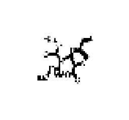 C=Cc1cnc(C(=O)OC)c(N(C(=O)OC(C)(C)C)C(=O)OC(C)(C)C)n1